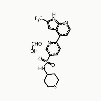 O=CO.O=S(=O)(NC1CCSCC1)c1ccc(-c2ccnc3[nH]c(C(F)(F)F)cc23)nc1